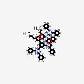 CCCCc1cc(CCCC)cc(-c2cc(-c3nc(-c4ccccc4)nc(-c4ccccc4)n3)cc(-c3nc(-c4ccccc4)cc(-c4ccccc4)n3)c2N2c3ccccc3N(c3nc(-c4ccccc4)nc(-c4ccccc4)n3)c3ccccc32)c1